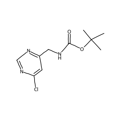 CC(C)(C)OC(=O)NCc1cc(Cl)ncn1